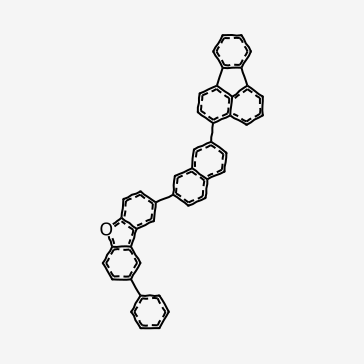 c1ccc(-c2ccc3oc4ccc(-c5ccc6ccc(-c7ccc8c9c(cccc79)-c7ccccc7-8)cc6c5)cc4c3c2)cc1